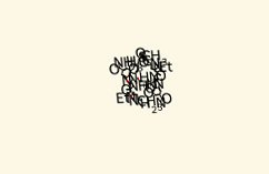 CCn1nc(C)cc1C(=O)Nc1nc2cc(C(N)=O)cc(OCCCS(C)(=O)=O)c2n1CCC[C@H]1COc2cc(C(N)=O)cc3nc(NC(=O)c4cc(C)nn4CC)n1c23